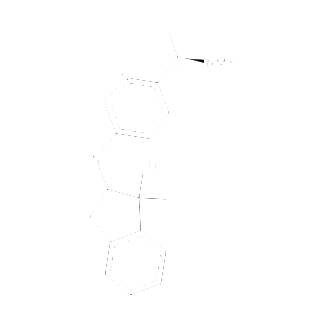 CN[C@@H](c1ccc(NC2Cc3ccccc3C2(C)C)cn1)C(F)(F)F